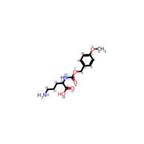 COc1ccc(COC(=O)NC(CCCN)C(=O)O)cc1